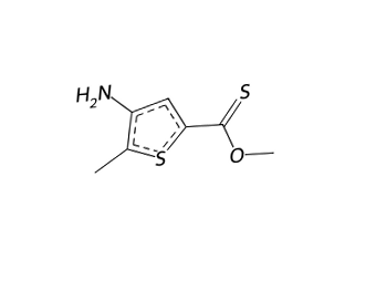 COC(=S)c1cc(N)c(C)s1